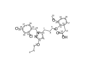 CCCOc1cc(CCCOc2c(CC(=O)O)cccc2OC)n(Cc2ccc(Cl)cc2Cl)n1